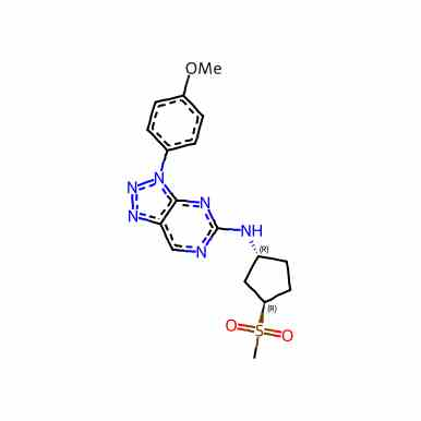 COc1ccc(-n2nnc3cnc(N[C@@H]4CC[C@@H](S(C)(=O)=O)C4)nc32)cc1